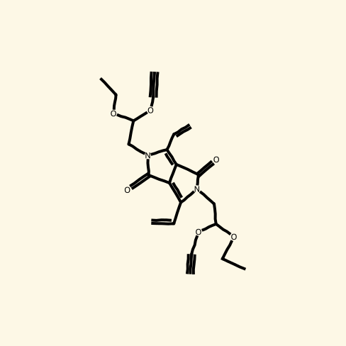 C#COC(CN1C(=O)C2=C(C=C)N(CC(OC#C)OCC)C(=O)C2=C1C=C)OCC